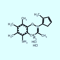 CC1=[C]([Ti]([O]c2c(C)c(C)c(C)c([SiH3])c2C)=[C](C)C)CC=C1.Cl.Cl